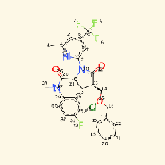 Cc1cc(C(F)(F)F)cc(N2C(=O)[C@@H](COCc3ccccc3)C[C@H]2C(=O)N(C)c2ccc(F)c(Cl)c2)n1